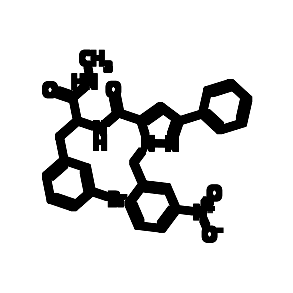 CNC(=O)C(Cc1cccc(Br)c1)NC(=O)c1cc(-c2ccccc2)nn1Cc1cccc([N+](=O)[O-])c1